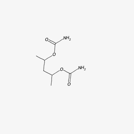 CC(CC(C)OC(N)=O)OC(N)=O